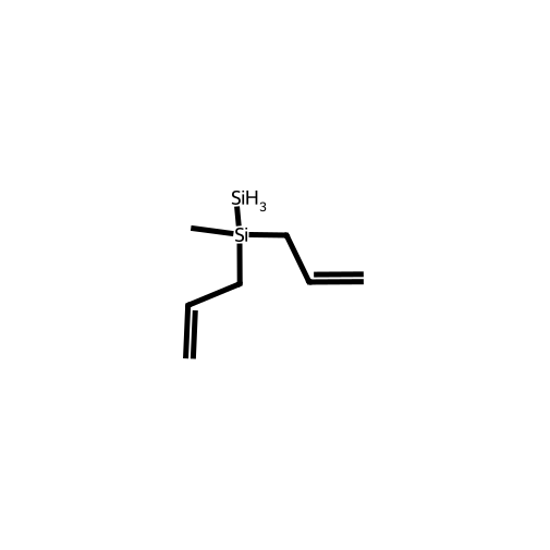 C=CC[Si](C)([SiH3])CC=C